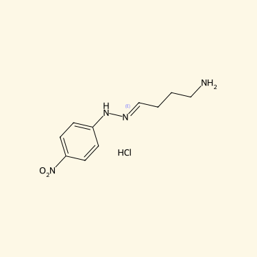 Cl.NCCC/C=N/Nc1ccc([N+](=O)[O-])cc1